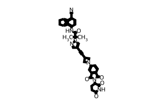 CC(C)(C(=O)Nc1ccc(C#N)c2c1C1CCC2C1)n1cc(C#CC2CN(c3ccc4c(c3)C(=O)N(C3CCC(=O)NC3=O)C4=O)C2)cn1